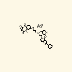 CCN1C(=O)C(C)(C)C(=O)N(C)c2cc(OCCCN(CCn3ccc4oc(-c5ccccc5)cc4c3=O)Cc3ccncc3)ccc21.Cl.Cl